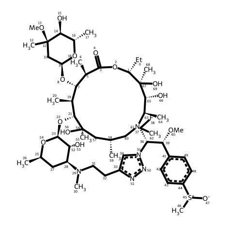 CC[C@H]1OC(=O)[C@H](C)[C@@H](O[C@H]2C[C@@](C)(OC)[C@@H](O)[C@H](C)O2)[C@H](C)[C@@H](O[C@@H]2O[C@H](C)C[C@H](N(C)CCc3cn([C@H](CF)[C@H](OC)c4ccc([S+](C)[O-])cc4)nn3)[C@H]2O)[C@](C)(O)C[C@@H](C)CN(C)[C@H](C)[C@@H](O)[C@]1(C)O